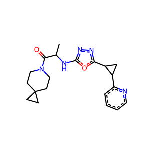 CC(Nc1nnc(C2CC2c2ccccn2)o1)C(=O)N1CCC2(CC1)CC2